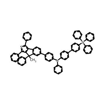 CC1(c2ccccc2)c2cc(-c3ccc(N(c4ccccc4)c4ccc(-c5ccc([Si](c6ccccc6)(c6ccccc6)c6ccccc6)cc5)cc4)cc3)ccc2-c2c(-c3ccccc3)sc(-c3ccccc3)c21